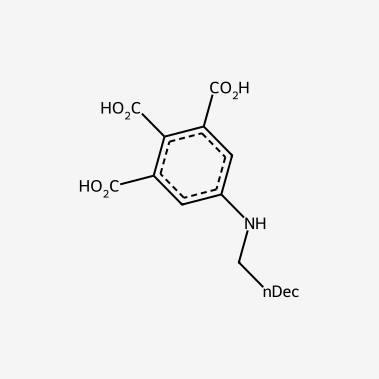 CCCCCCCCCCCNc1cc(C(=O)O)c(C(=O)O)c(C(=O)O)c1